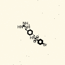 N=C(N)NC[C@H]1CC[C@H](CNS(=O)(=O)c2ccc(Br)cc2)CC1